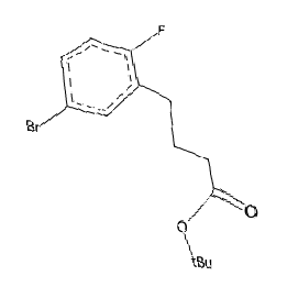 CC(C)(C)OC(=O)CCCc1cc(Br)ccc1F